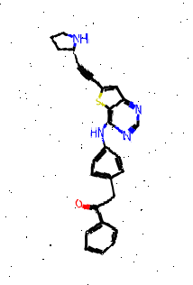 O=C(Cc1ccc(Nc2ncnc3cc(C#C[C@H]4CCCN4)sc23)cc1)c1ccccc1